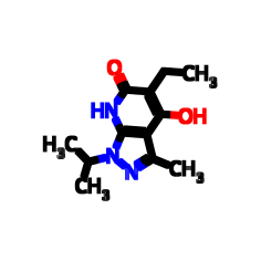 CCc1c(O)c2c(C)nn(C(C)C)c2[nH]c1=O